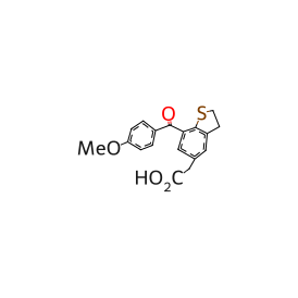 COc1ccc(C(=O)c2cc(CC(=O)O)cc3c2SCC3)cc1